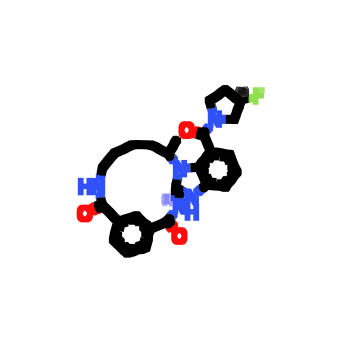 CC1CCCCNC(=O)c2cccc(c2)C(=O)/N=C2\Nc3cccc(C(=O)N4CC[C@@H](F)C4)c3N21